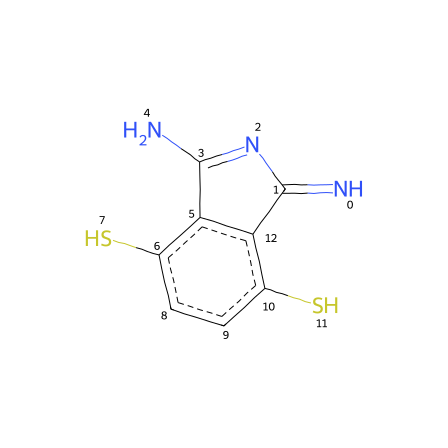 N=C1N=C(N)c2c(S)ccc(S)c21